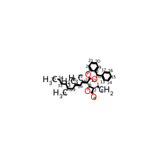 C=C[C@H]1C(=O)O[C@H]1/C(C(=O)OC(c1ccccc1)c1ccccc1)=C(C)\C=C(/C)CC(C)CCCC